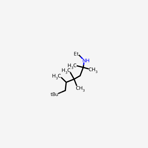 CCNC(C)(C)CC(C)(C)C(C)CC(C)(C)C